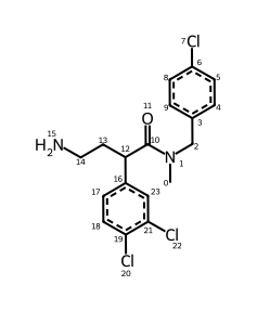 CN(Cc1ccc(Cl)cc1)C(=O)C(CCN)c1ccc(Cl)c(Cl)c1